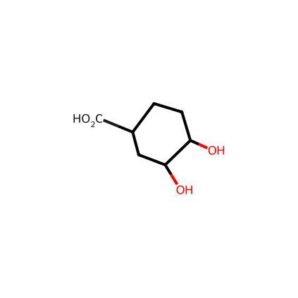 O=C(O)C1CCC(O)C(O)C1